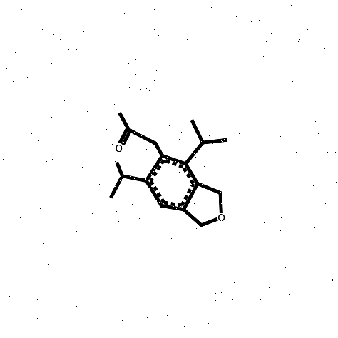 CC(=O)Cc1c(C(C)C)cc2c(c1C(C)C)COC2